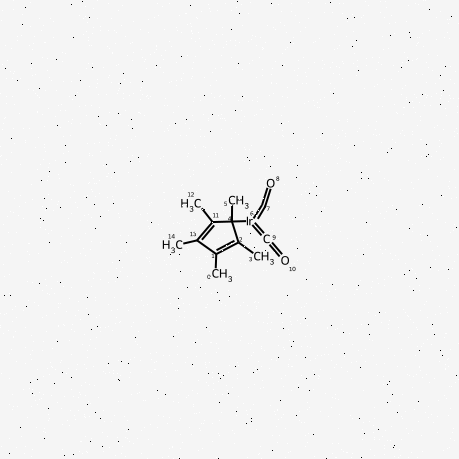 CC1=C(C)[C](C)([Ir](=[C]=O)=[C]=O)C(C)=C1C